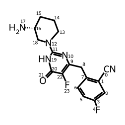 N#Cc1cc(F)ccc1Cc1nc(N2CCC[C@@H](N)C2)[nH]c(=O)c1F